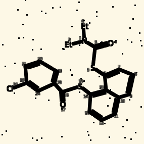 CCN(CC)C(=O)Sc1cccc2cccc(SC(=O)c3cccc(Cl)c3)c12